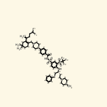 C=C(CCC(F)F)C1=C(CN2CCN(c3ccc(C(=O)NS(=O)(=O)c4ccc(N[C@H](CCN5CCN(C)CC5)CSc5ccccc5)c(S(=O)(=O)C(F)(F)F)c4)cc3)CC2)CCC(C)(C)C1